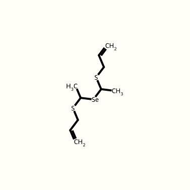 C=CCSC(C)[Se]C(C)SCC=C